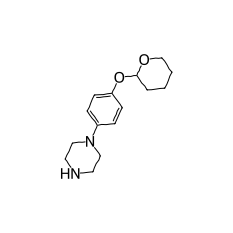 c1cc(N2CCNCC2)ccc1OC1CCCCO1